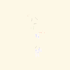 O=C1C(Cc2ccc(Br)cc2Cl)CCN1C1CCc2n[nH]cc2C1